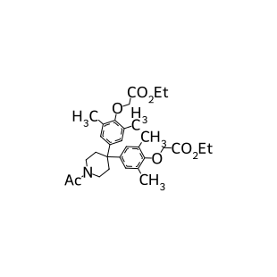 CCOC(=O)COc1c(C)cc(C2(c3cc(C)c(OCC(=O)OCC)c(C)c3)CCN(C(C)=O)CC2)cc1C